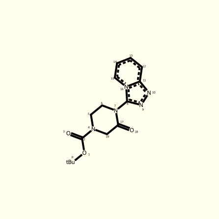 CC(C)(C)OC(=O)N1CCN(c2nnc3ccccn23)C(=O)C1